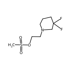 CS(=O)(=O)OCCN1CCCC(F)(F)C1